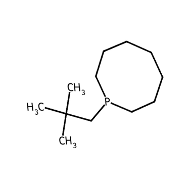 CC(C)(C)CP1CCCCCCC1